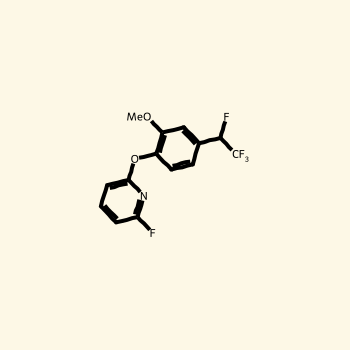 COc1cc(C(F)C(F)(F)F)ccc1Oc1cccc(F)n1